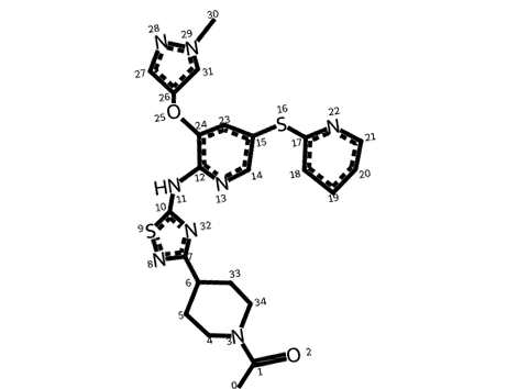 CC(=O)N1CCC(c2nsc(Nc3ncc(Sc4ccccn4)cc3Oc3cnn(C)c3)n2)CC1